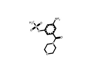 CS(=O)(=O)Oc1cc(N)cc(C(=O)N2CCOCC2)c1